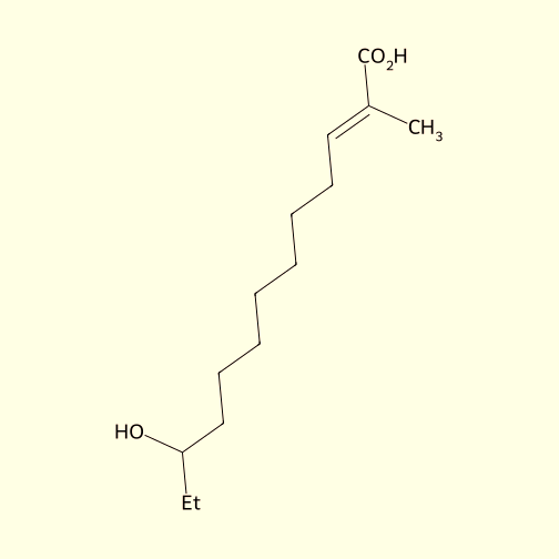 CCC(O)CCCCCCCC=C(C)C(=O)O